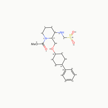 COC(=O)N1CCCC(NC[SH](=O)=O)C1COC1CCC(c2ccccc2)CC1